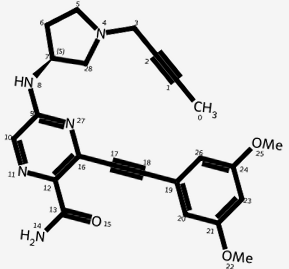 CC#CCN1CC[C@H](Nc2cnc(C(N)=O)c(C#Cc3cc(OC)cc(OC)c3)n2)C1